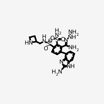 NN/N=C(\N)c1c(-c2cccc3[nH]c(N)nc23)ccc(S(=O)(=O)NCC2CCN2)c1S(N)(=O)=O